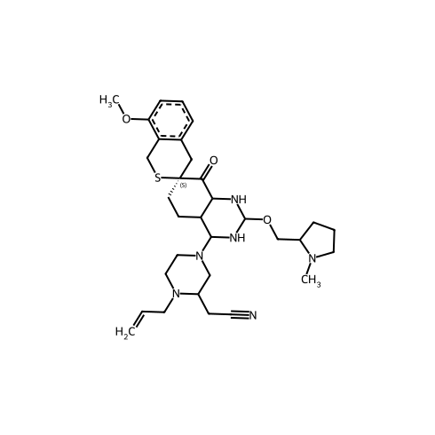 C=CCN1CCN(C2NC(OCC3CCCN3C)NC3C(=O)[C@]4(CCC32)Cc2cccc(OC)c2CS4)CC1CC#N